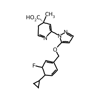 C[C@@]1(C(=O)O)C=C(n2nccc2OCC2=CC(F)C(C3CC3)C=C2)N=CC1